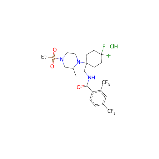 CCS(=O)(=O)N1CCN(C2(CNC(=O)c3ccc(C(F)(F)F)cc3C(F)(F)F)CCC(F)(F)CC2)C(C)C1.Cl